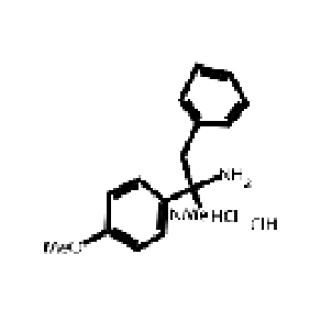 CNC(N)(Cc1ccccc1)c1ccc(OC)cc1.Cl.Cl